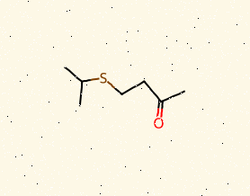 CC(=O)CCSC(C)C